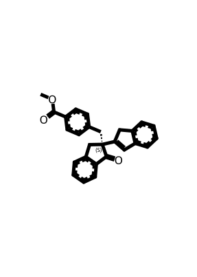 COC(=O)c1ccc(C[C@@]2(C3=Cc4ccccc4C3)Cc3ccccc3C2=O)cc1